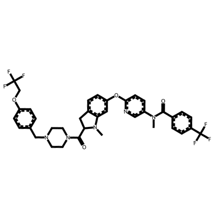 CN(C(=O)c1ccc(C(F)(F)F)cc1)c1ccc(Oc2ccc3c(c2)N(C)C(C(=O)N2CCN(Cc4ccc(OCC(F)(F)F)cc4)CC2)C3)nc1